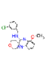 COc1cccc2c1N=C(NCc1cccc(Cl)c1)C1(CCOCC1)N2